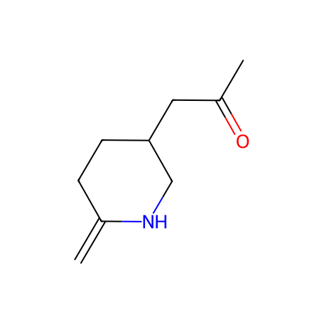 C=C1CCC(CC(C)=O)CN1